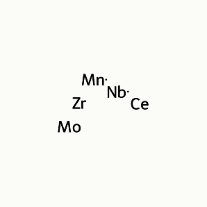 [Ce].[Mn].[Mo].[Nb].[Zr]